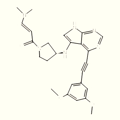 COc1cc(C#Cc2ncnc3[nH]cc(N[C@H]4CCN(C(=O)C=CN(C)C)C4)c23)cc(OC)c1